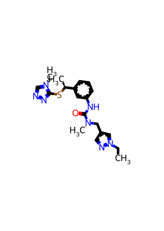 CCn1cc(CN(C)C(=O)Nc2cccc([C@H](C)Sc3nncn3C)c2)cn1